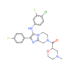 CN1CCOC(C(=O)N2CCn3c(nc(-c4ccc(F)cc4)c3Nc3ccc(Cl)c(F)c3)C2)C1